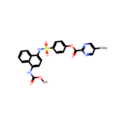 CCCOC(=O)Nc1ccc(NS(=O)(=O)c2ccc(OC(=O)c3ncc(OC)cn3)cc2)c2ccccc12